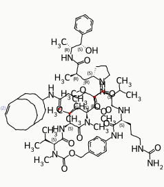 CC[C@H](C)[C@@H]([C@@H](CC(=O)N1CCC[C@H]1[C@H](OC)[C@@H](C)C(=O)N[C@H](C)[C@@H](O)c1ccccc1)OC)N(C)C(=O)[C@@H](NC(=O)[C@H](C(C)C)N(C)C(=O)OCc1ccc(NC(=O)[C@H](CCCNC(N)=O)NC(=O)[C@@H](NC(=O)CCCC(=O)NC2CCC3/C=C\CCCC(CCC3)CC2)C(C)C)cc1)C(C)C